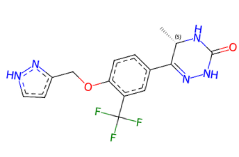 C[C@@H]1NC(=O)NN=C1c1ccc(OCc2cc[nH]n2)c(C(F)(F)F)c1